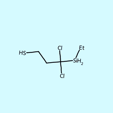 CC[SiH2]C(Cl)(Cl)CCS